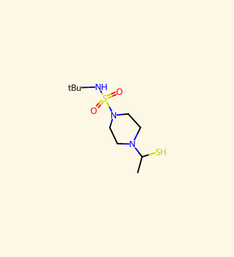 CC(S)N1CCN(S(=O)(=O)NC(C)(C)C)CC1